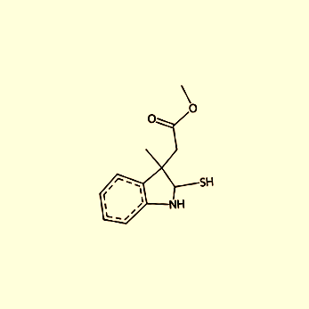 COC(=O)CC1(C)c2ccccc2NC1S